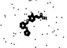 Cc1c(CCC(=O)O)ccc(OCc2cccnc2SC2CCCC2)c1C